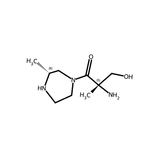 C[C@@H]1CN(C(=O)[C@@](C)(N)CO)CCN1